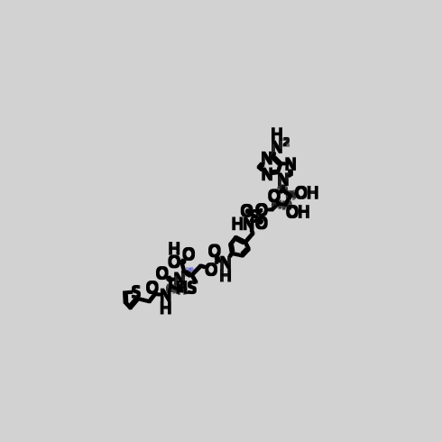 C[C@@H]1[C@H](NC(=O)Cc2cccs2)C(=O)N1/C(C(=O)O)=C(\CS)COC(=O)Nc1ccc(CNS(=O)(=O)OC[C@H]2O[C@@H](n3cnc4c(N)ncnc43)[C@H](O)[C@@H]2O)cc1